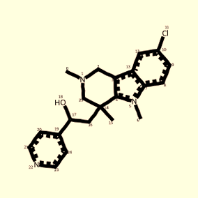 CN1Cc2c(n(C)c3ccc(Cl)cc23)C(C)(CC(O)c2ccncc2)C1